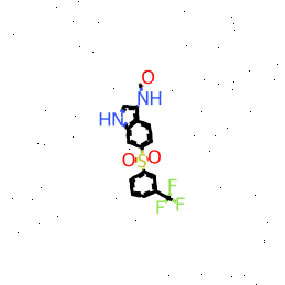 O=CNc1c[nH]c2cc(S(=O)(=O)c3cccc(C(F)(F)F)c3)ccc12